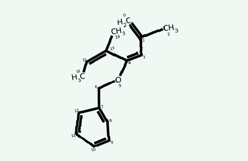 C=C(C)/C=C(OCc1ccccc1)\C(C)=C/C